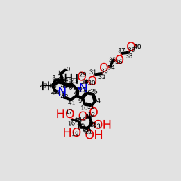 CC[C@H]1C[C@H]2C[C@H]3c4c(c5cc(O[C@H]6O[C@H](CO)[C@@H](O)[C@H](O)[C@@H]6O)ccc5n4C(=O)OCCOCCOCCOC)CCN(C2)C13